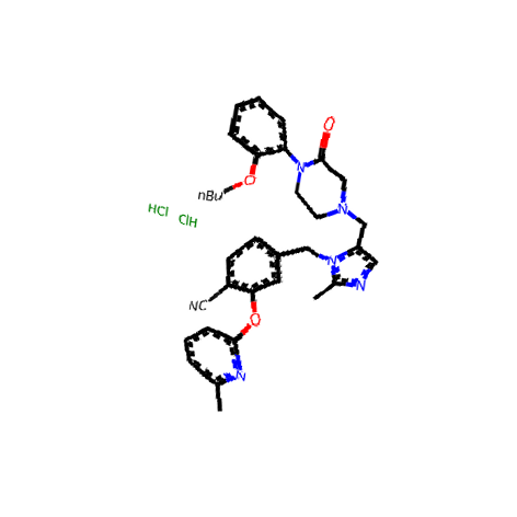 CCCCOc1ccccc1N1CCN(Cc2cnc(C)n2Cc2ccc(C#N)c(Oc3cccc(C)n3)c2)CC1=O.Cl.Cl